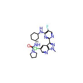 Cn1nc(-c2ncc(F)c(NC3CCC[C@@H](NC(=O)N4CCCC4)C3)n2)c2cc(Cl)cnc21